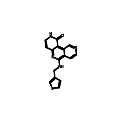 O=c1[nH]ccc2nc(NCc3ccsc3)c3ccncc3c12